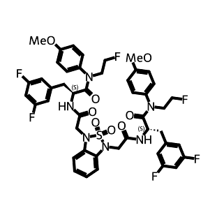 COc1ccc(N(CCF)C(=O)[C@H](Cc2cc(F)cc(F)c2)NC(=O)CN2c3ccccc3N(CC(=O)N[C@@H](Cc3cc(F)cc(F)c3)C(=O)N(CCF)c3ccc(OC)cc3)S2(=O)=O)cc1